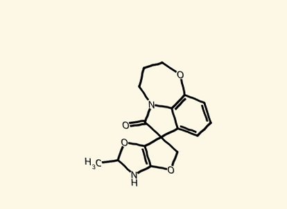 CC1NC2=C(O1)C1(CO2)C(=O)N2CCCOc3cccc1c32